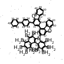 Bc1c(B)c(B)c2c(c1B)c(B)c(B)c1c2c2c(B)c(B)c(B)c(B)c2n1-c1cc(-c2cc(-c3ccc(-c4ccccc4)cc3)c3oc4ccccc4c3c2)c2c(c1)oc1ccccc12